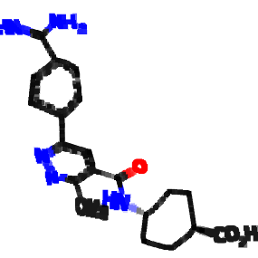 COc1nnc(-c2ccc(C(=N)N)cc2)cc1C(=O)N[C@H]1CC[C@H](C(=O)O)CC1